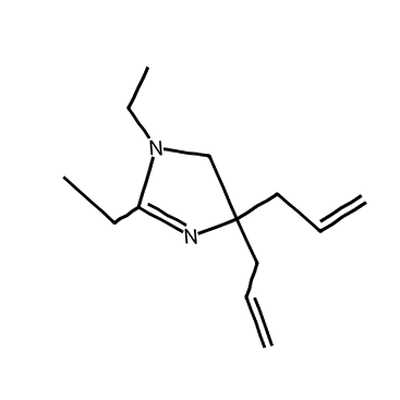 C=CCC1(CC=C)CN(CC)C(CC)=N1